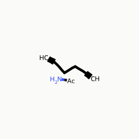 C#CCCC#C.CC(N)=O